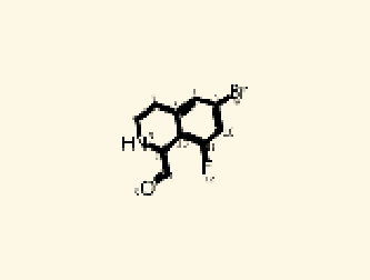 O=CC1NCCc2cc(Br)cc(F)c21